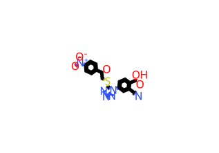 N#Cc1cc(-n2nnnc2SCC(=O)c2ccc([N+](=O)[O-])cc2)ccc1C(=O)O